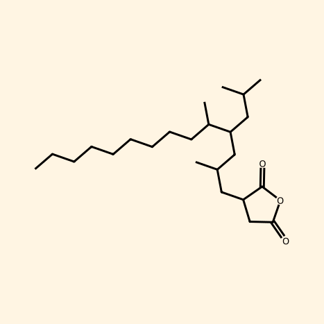 CCCCCCCCCC(C)C(CC(C)C)CC(C)CC1CC(=O)OC1=O